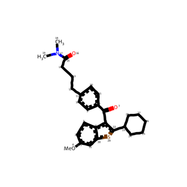 COc1ccc2c(C(=O)c3ccc(CCCC(=O)N(C)C)cc3)c(C3CCCCC3)sc2c1